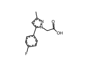 Cc1cc(-c2ccc(F)cc2)n(CC(=O)O)n1